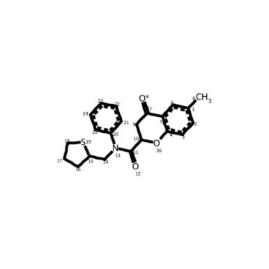 Cc1ccc2c(c1)C(=O)CC(C(=O)N(CC1CCCS1)c1ccccc1)O2